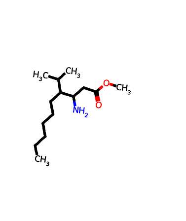 CCCCCCC(C(C)C)C(N)CC(=O)OC